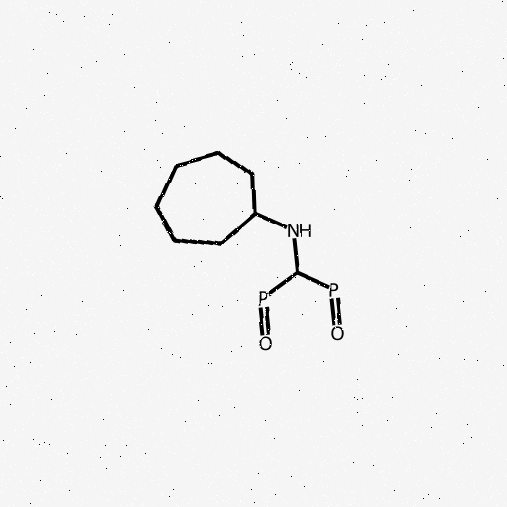 O=PC(NC1CCCCCC1)P=O